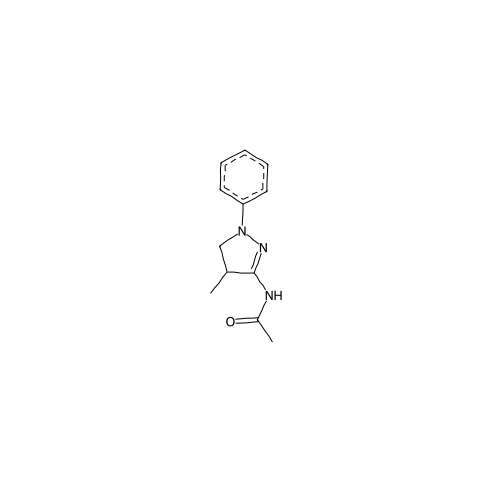 CC(=O)NC1=NN(c2ccccc2)CC1C